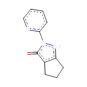 O=c1c2c([nH]n1-c1ccccn1)CCC2